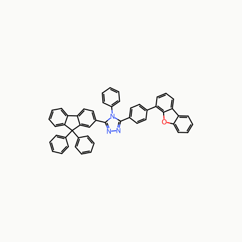 c1ccc(-n2c(-c3ccc(-c4cccc5c4oc4ccccc45)cc3)nnc2-c2ccc3c(c2)C(c2ccccc2)(c2ccccc2)c2ccccc2-3)cc1